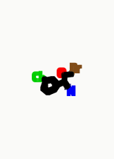 N#CC(C(=O)CBr)c1cccc(Cl)c1